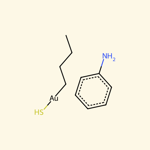 CCC[CH2][Au][SH].Nc1ccccc1